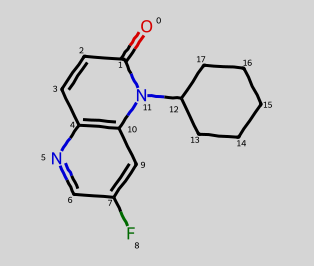 O=c1ccc2ncc(F)cc2n1C1CCCCC1